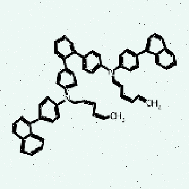 C=C/C=C\C=C\N(c1ccc(-c2ccccc2-c2ccc(N(C/C=C\C=C/C)c3ccc(-c4cccc5ccccc45)cc3)cc2)cc1)c1ccc(-c2cccc3ccccc23)cc1